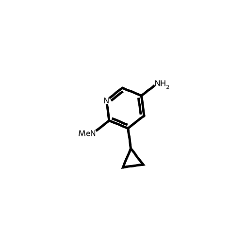 CNc1ncc(N)cc1C1CC1